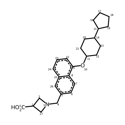 O=C(O)C1CN(Cc2ccc3c(OC4CCC(C5CCCC5)CC4)cccc3c2)C1